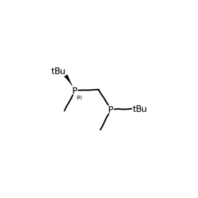 CP(C[P@@](C)C(C)(C)C)C(C)(C)C